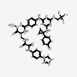 COC(=O)[C@H](CNC(=O)C(=O)Nc1ccc(-n2cnnn2)cc1)NC(=O)c1ccc(Nc2nc(NC3(c4ccc(Cl)cc4)CC3)nc(OCC(F)(F)F)n2)cc1